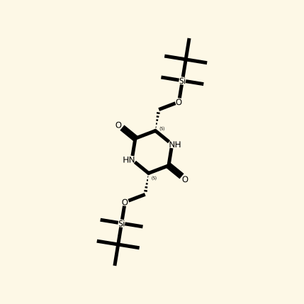 CC(C)(C)[Si](C)(C)OC[C@@H]1NC(=O)[C@H](CO[Si](C)(C)C(C)(C)C)NC1=O